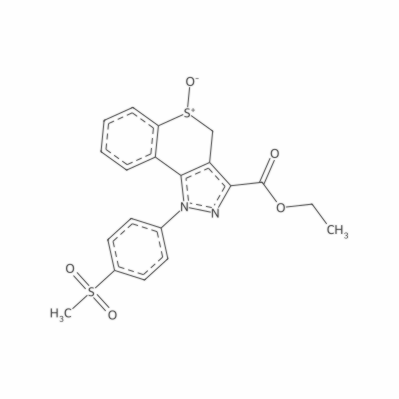 CCOC(=O)c1nn(-c2ccc(S(C)(=O)=O)cc2)c2c1C[S+]([O-])c1ccccc1-2